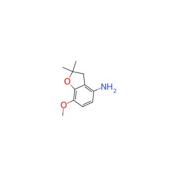 COc1ccc(N)c2c1OC(C)(C)C2